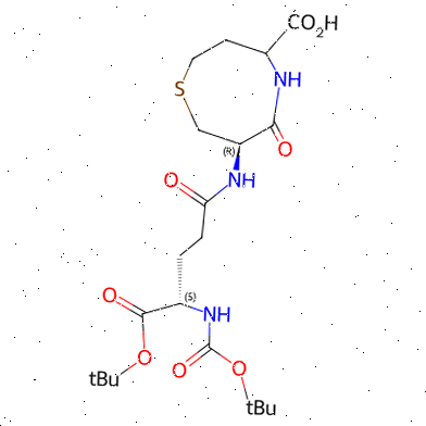 CC(C)(C)OC(=O)N[C@@H](CCC(=O)N[C@H]1CSCCC(C(=O)O)NC1=O)C(=O)OC(C)(C)C